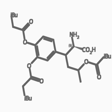 CCC(C)CC(=O)Oc1ccc(C(CC(C)OC(=O)C(C)CC)[C@H](N)C(=O)O)cc1OC(=O)CC(C)CC